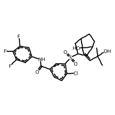 CC(C)(O)/C=C\C1(O)C2CCC1CC(S(=O)(=O)c1cc(C(=O)Nc3cc(F)c(F)c(F)c3)ccc1Cl)C2